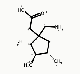 C[C@H]1CC(CN)(CC(=O)O)C[C@@H]1C.[KH]